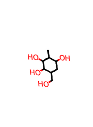 CC1C(O)CC(CO)C(O)C1O